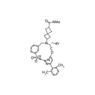 CNC(=O)C1CC2(C1)CC(N1Cc3cccc(c3)S(=O)(=O)Nc3nc(cc(-c4c(C)cccc4C)n3)OC[C@H]1CC(C)C)C2